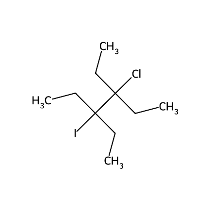 CCC(Cl)(CC)C(I)(CC)CC